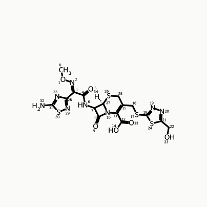 CO/N=C(/C(=O)NC1C(=O)N2C(C(=O)O)=C(CSc3nnc(CO)s3)CS[C@H]12)c1nsc(N)n1